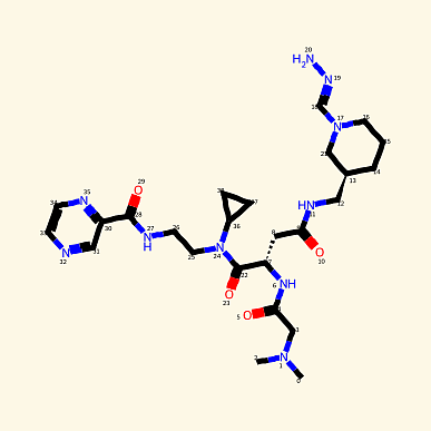 CN(C)CC(=O)N[C@@H](CC(=O)NC[C@@H]1CCCN(C=NN)C1)C(=O)N(CCNC(=O)c1cnccn1)C1CC1